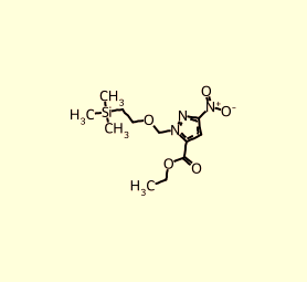 CCOC(=O)c1cc([N+](=O)[O-])nn1COCC[Si](C)(C)C